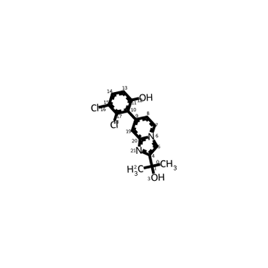 CC(C)(O)c1cn2ccc(-c3c(O)ccc(Cl)c3Cl)cc2n1